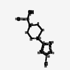 O=C(O)N1CCN(c2nsc(Cl)n2)CC1